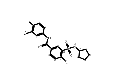 O=C(Nc1ccc(F)c(Cl)c1)c1ccc(F)c(S(=O)(=O)NC2CCCC2)c1